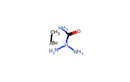 CCCCC.NC(=O)N(N)N